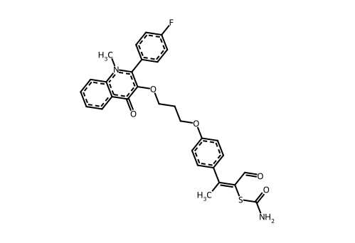 C/C(=C(/C=O)SC(N)=O)c1ccc(OCCCOc2c(-c3ccc(F)cc3)n(C)c3ccccc3c2=O)cc1